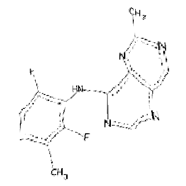 Cc1ncc2ncnc(Nc3c(F)ccc(C)c3F)c2n1